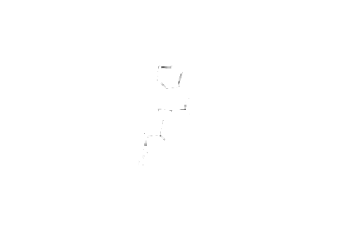 CC(C)C(=Cc1ccccc1)[C@@H]1CC1C(=O)N=[N+]=[N-]